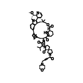 CO[C@@H](C)c1ncccc1-c1c2c3cc(ccc3n1C)-c1csc(n1)C[C@H](NC(=O)C(C(C)C)N1CCC3(CCN(C(=O)C#CCN4CCOCC4)C3)C1=O)C(=O)N1CCC[C@H](N1)C(=O)OCC(C)(C)C2